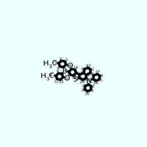 Cc1ccc2c(c1)B1c3cc(C)ccc3Oc3c1c(cc1c3sc3cc(N(c4ccccc4)c4ccccc4)c4ccccc4c31)O2